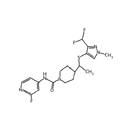 CC(Sc1cn(C)nc1C(F)F)C1CCN(C(=O)Nc2ccnc(F)c2)CC1